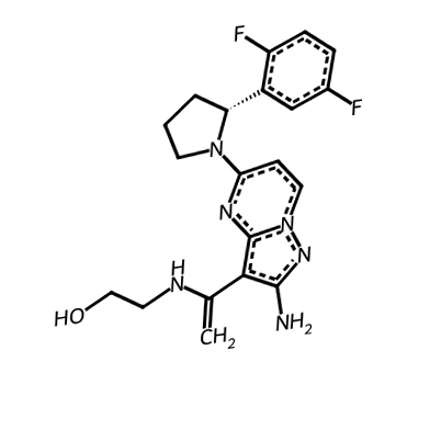 C=C(NCCO)c1c(N)nn2ccc(N3CCC[C@@H]3c3cc(F)ccc3F)nc12